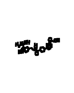 N=C(N)c1c[nH]c2ccc(CCNC(=O)c3ccc(-c4ccnc(N5CCCC5CO)n4)cc3)cc12